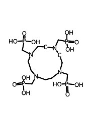 O=P(O)(O)CN1CCN(CP(=O)(O)O)CCN(CP(=O)(O)O)CCN(CP(=O)(O)O)CC1